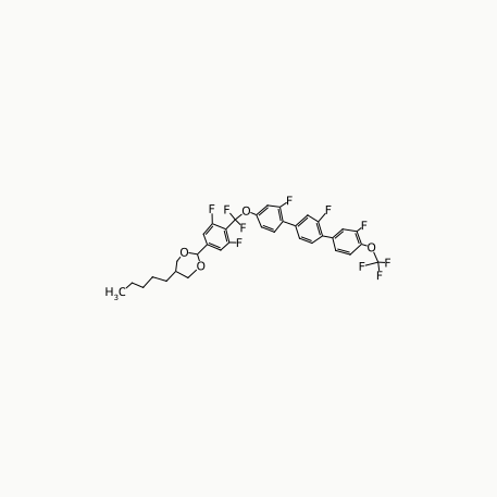 CCCCCC1COC(c2cc(F)c(C(F)(F)Oc3ccc(-c4ccc(-c5ccc(OC(F)(F)F)c(F)c5)c(F)c4)c(F)c3)c(F)c2)OC1